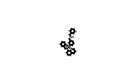 O=S(=O)(c1cccc(CNCc2ccccc2)c1)N(Cc1ccccc1)C1CCCc2cccnc21